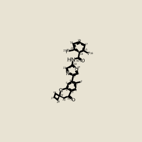 Cc1cc2c(cc1-c1cnc(NC(=O)c3c(F)cccc3F)cn1)OC1(CCC1)CC2=O